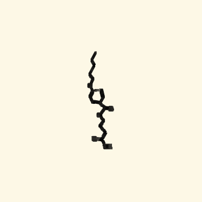 CCCCCOc1ccc(C(=O)OCCCC(=O)O)cc1